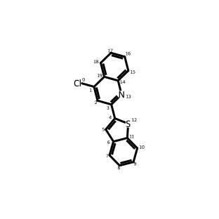 Clc1cc(-c2cc3ccccc3s2)nc2ccccc12